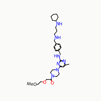 COCCOCC(=O)N1CCN(c2cc(C)nc(NCc3ccc(CNCCCNC4CCCCC4)cc3)n2)CC1